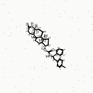 Cc1ccc(CC(NC(=O)O[C@H]2CC[C@H]3[C@@H]4CC[C@H]5NC(=O)CC[C@]5(C)[C@H]4CC[C@]23C)c2ccccc2)cc1